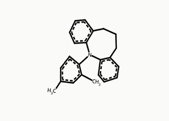 Cc1ccc(N2c3ccccc3CCCc3ccccc32)c(C)c1